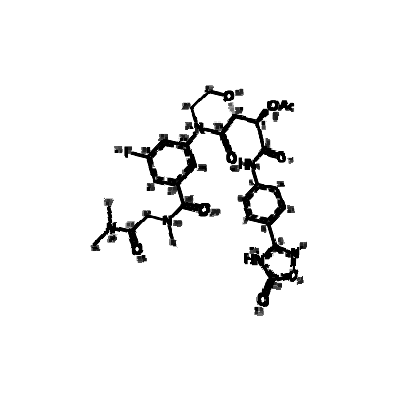 CC(=O)O[C@@H](C(=O)Nc1ccc(-c2noc(=O)[nH]2)cc1)[C@H]1OCCN(c2cc(F)cc(C(=O)N(C)CC(=O)N(C)C)c2)C1=O